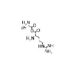 CC(C)[C@H](N)C(=O)OC(=O)[C@@H](N)CCCNC(=N)N